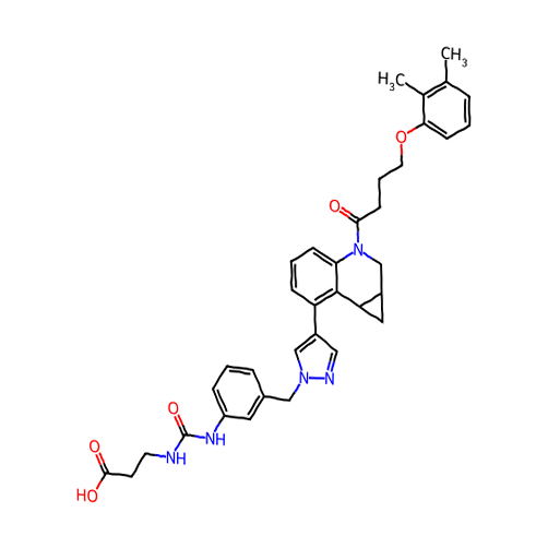 Cc1cccc(OCCCC(=O)N2CC3CC3c3c(-c4cnn(Cc5cccc(NC(=O)NCCC(=O)O)c5)c4)cccc32)c1C